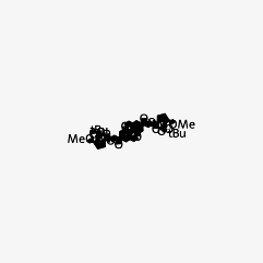 COC[C@H]1CC[C@@H](C(=O)OCC(=O)c2cc3c4c(c2)OCc2cc(C(=O)COC(=O)[C@@H]5CC[C@H](COC)N5C(=O)OC(C)(C)C)cc(c2-4)OC3)N1C(=O)OC(C)(C)C